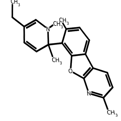 CCC1=CN(C)C(C)(c2c(C)ccc3c2oc2nc(C)ccc23)C=C1